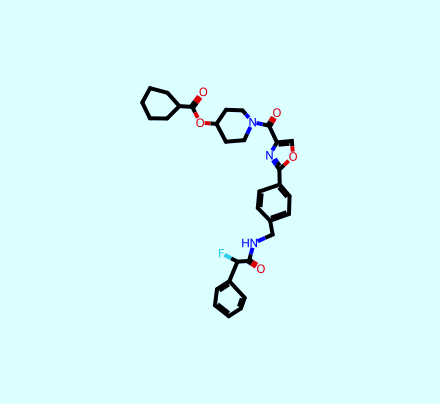 O=C(OC1CCN(C(=O)c2coc(-c3ccc(CNC(=O)C(F)c4ccccc4)cc3)n2)CC1)C1CCCCC1